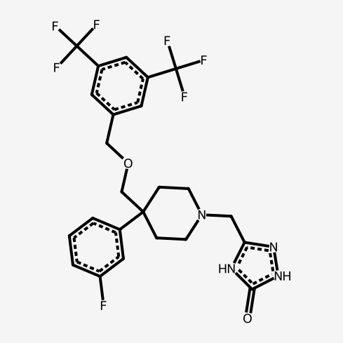 O=c1[nH]nc(CN2CCC(COCc3cc(C(F)(F)F)cc(C(F)(F)F)c3)(c3cccc(F)c3)CC2)[nH]1